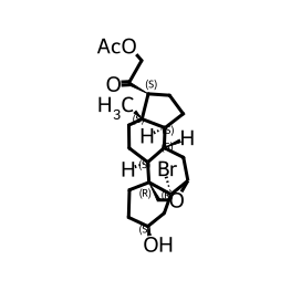 CC(=O)OCC(=O)[C@H]1CC[C@H]2[C@@H]3CC4OC[C@@]5(CC[C@H](O)C[C@]45Br)[C@H]3CC[C@]12C